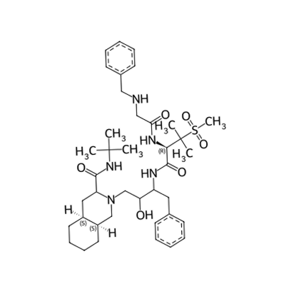 CC(C)(C)NC(=O)C1C[C@@H]2CCCC[C@@H]2CN1CC(O)C(Cc1ccccc1)NC(=O)[C@@H](NC(=O)CNCc1ccccc1)C(C)(C)S(C)(=O)=O